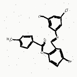 Cc1ccc(C(=O)Oc2ccc(Br)cc2/C=N/c2cc(Cl)cc(Cl)c2)cc1